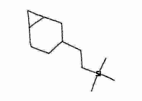 C[Si](C)(C)CCC1CCC2CC2C1